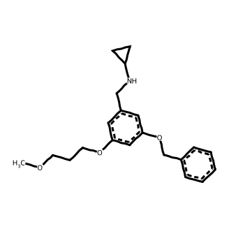 COCCCOc1cc(CNC2CC2)cc(OCc2ccccc2)c1